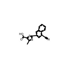 Cc1nc(-c2cc(C#N)c3ccccc3c2)sc1C(=O)O